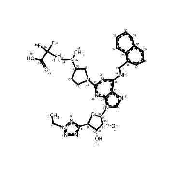 CCn1nnc([C@H]2O[C@@H](n3cnc4c(NCc5cccc6ccccc56)nc(N5CC[C@@H](N(C)C)C5)nc43)[C@H](O)[C@@H]2O)n1.O=C(O)C(F)(F)F